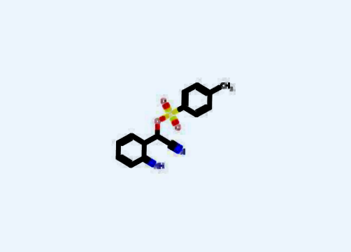 Cc1ccc(S(=O)(=O)OC(C#N)C2C=CC=CC2=N)cc1